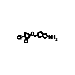 NC1Cc2ccc(COc3ccc(Cl)c(Cl)c3)cc2C1